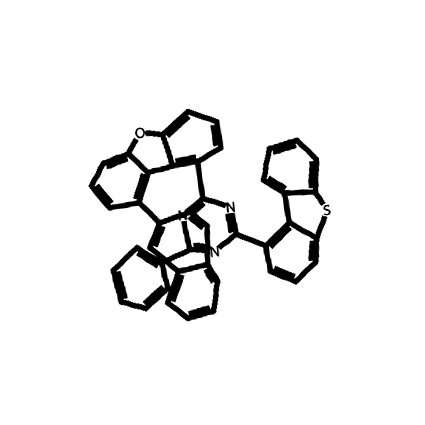 c1ccc(-c2nc(-c3cccc4sc5ccccc5c34)nc(-c3cccc4oc5cccc(-c6ccc7ccccc7c6)c5c34)n2)cc1